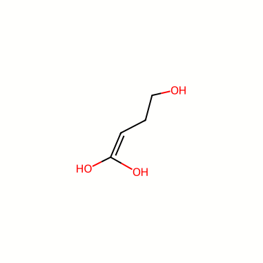 OCCC=C(O)O